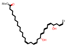 CC/C=C\C[C@H](O)\C=C/C=C/C=C/[C@H](O)C/C=C\C/C=C\CCCCCCCCCCCCC(=O)OC